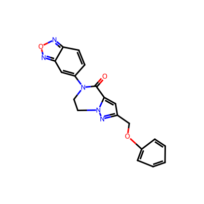 O=C1c2cc(COc3ccccc3)nn2CCN1c1ccc2nonc2c1